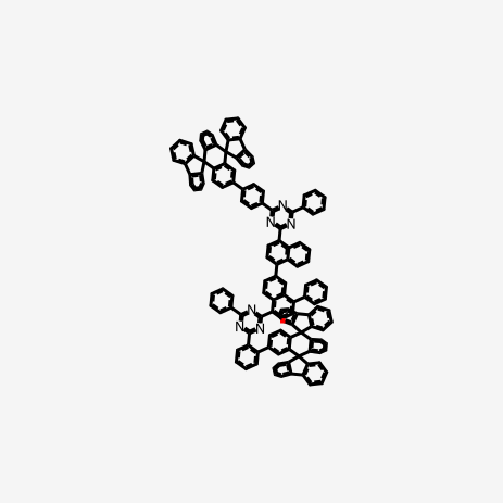 c1ccc(-c2nc(-c3ccc(-c4ccc5c(c4)C4(c6ccccc6-c6ccccc64)c4ccccc4C54c5ccccc5-c5ccccc54)cc3)nc(-c3ccc(-c4ccc5c(-c6nc(-c7ccccc7)nc(-c7ccccc7-c7ccc8c(c7)C7(c9ccccc9-c9ccccc97)c7ccccc7C87c8ccccc8-c8ccccc87)n6)ccc(-c6ccccc6)c5c4)c4ccccc34)n2)cc1